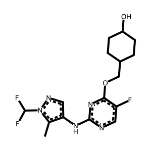 Cc1c(Nc2ncc(F)c(OCC3CCC(O)CC3)n2)cnn1C(F)F